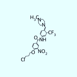 CN1CCN(C=C2C=CC(NC(=O)c3ccc(OCCCCl)c([N+](=O)[O-])c3)=CC2C(F)(F)F)CC1